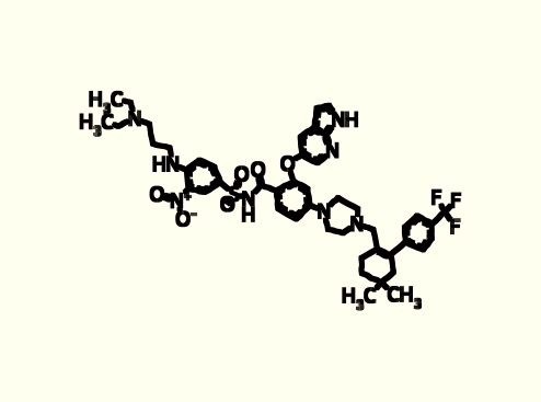 CCN(CC)CCCNc1ccc(S(=O)(=O)NC(=O)c2ccc(N3CCN(CC4=C(c5ccc(C(F)(F)F)cc5)CC(C)(C)CC4)CC3)cc2Oc2cnc3[nH]ccc3c2)cc1[N+](=O)[O-]